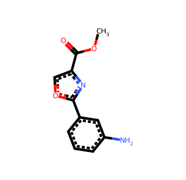 COC(=O)c1coc(-c2cccc(N)c2)n1